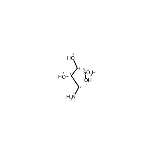 NC[C@H](O)CO.O=S(=O)(O)O